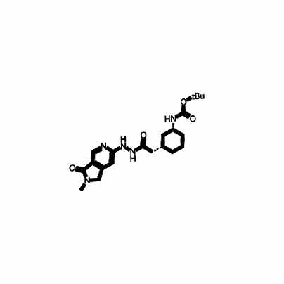 CN1Cc2cc(NNC(=O)C[C@H]3CCC[C@@H](NC(=O)OC(C)(C)C)C3)ncc2C1=O